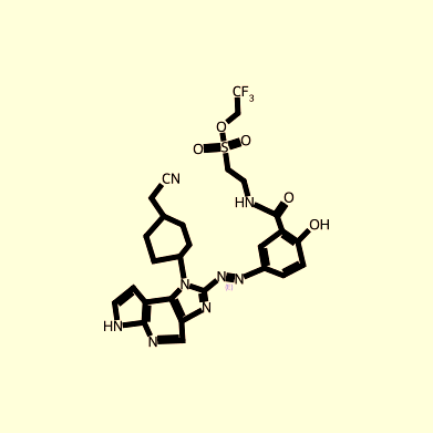 N#CCC1CCC(n2c(/N=N/c3ccc(O)c(C(=O)NCCS(=O)(=O)OCC(F)(F)F)c3)nc3cnc4[nH]ccc4c32)CC1